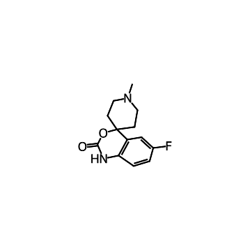 CN1CCC2(CC1)OC(=O)Nc1ccc(F)cc12